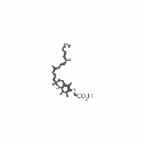 Cc1c(C)c2c(c(C)c1OCC(=O)O)CCC(C)(CCCC(C)CCCC(C)CCCC(C)C)O2